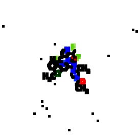 C=CC(=O)N1CCN(c2nc(=O)n(-c3c(C)ccnc3C(CF)CF)c3nc(-c4c(F)cccc4C=C)c(Cl)cc23)[C@@H](C)C1